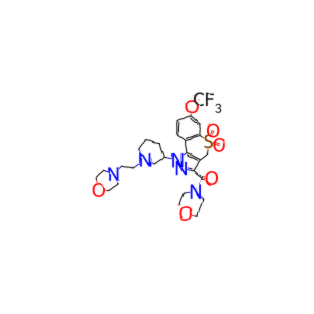 O=C(c1nn(C2CCCN(CCN3CCOCC3)C2)c2c1CS(=O)(=O)c1cc(OC(F)(F)F)ccc1-2)N1CCOCC1